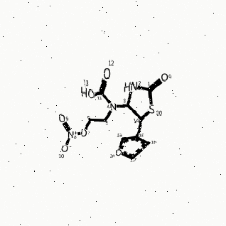 O=C1NC(N(CCO[N+](=O)[O-])C(=O)O)C(c2ccoc2)S1